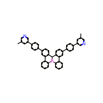 Cc1cncc(-c2ccc(-c3ccc4c(c3)-c3ccccc3P3c5ccccc5-c5cc(-c6ccc(-c7cncc(C)c7)cc6)ccc5C43)cc2)c1